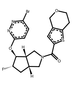 O=C(c1cc2c(s1)CCOC2)N1C[C@@H]2C[C@H](F)[C@@H](Oc3ccc(Br)nn3)[C@@H]2C1